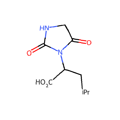 CC(C)CC(C(=O)O)N1C(=O)CNC1=O